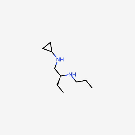 CCCN[C@@H](CC)CNC1CC1